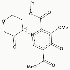 COC(=O)c1cn([C@H]2CCOCC2=O)c(C(=O)OC(C)C)c(OC)c1=O